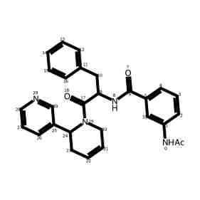 CC(=O)Nc1cccc(C(=O)NC(Cc2ccccc2)C(=O)N2CC=CCC2c2cccnc2)c1